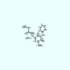 CCC[C@H](NC(=O)OC(C)(C)C)C(=S)N[C@@H](Cc1ccccc1)C(=O)OC(C)(C)C